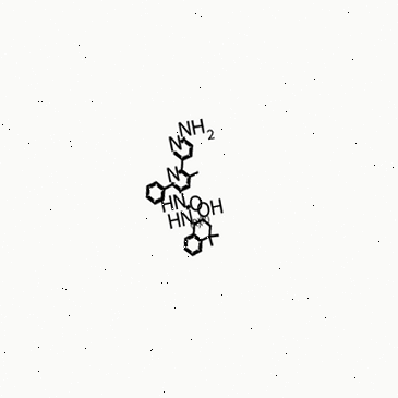 Cc1cc(NC(=O)N[C@@H]2c3ccccc3C(C)(C)C[C@H]2O)c(-c2ccccc2)nc1-c1ccc(N)nc1